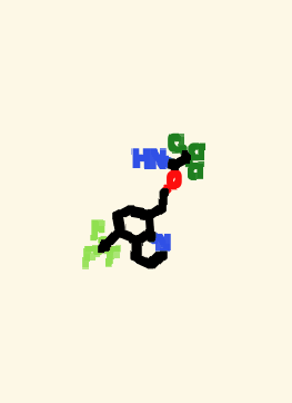 N=C(OCCc1ccc(C(F)(F)F)c2cccnc12)C(Cl)(Cl)Cl